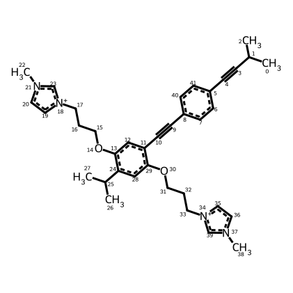 CC(C)C#Cc1ccc(C#Cc2cc(OCCC[n+]3ccn(C)c3)c(C(C)C)cc2OCCC[n+]2ccn(C)c2)cc1